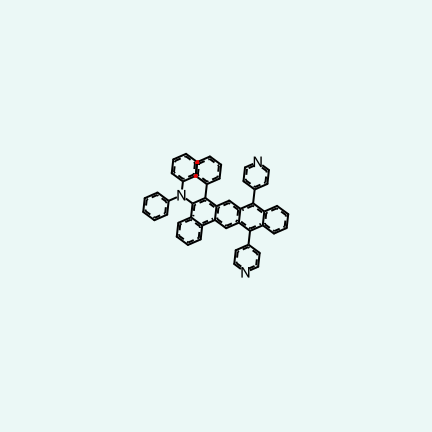 c1ccc(-c2c(N(c3ccccc3)c3ccccc3)c3ccccc3c3cc4c(-c5ccncc5)c5ccccc5c(-c5ccncc5)c4cc23)cc1